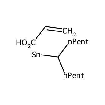 C=CC(=O)O.CCCCC[CH]([Sn])CCCCC